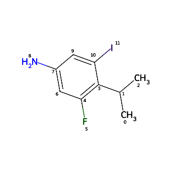 CC(C)c1c(F)cc(N)cc1I